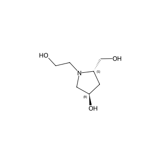 OCCN1C[C@H](O)C[C@H]1CO